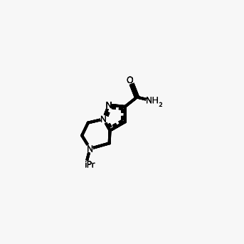 CC(C)N1CCn2nc(C(N)=O)cc2C1